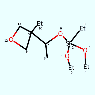 CCO[Si](CC)(OCC)OC(C)C1(CC)COC1